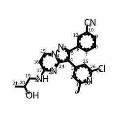 Cc1cc(-c2c(-c3cccc(C#N)c3)nn3ccc(NCC(C)O)nc23)cc(Cl)n1